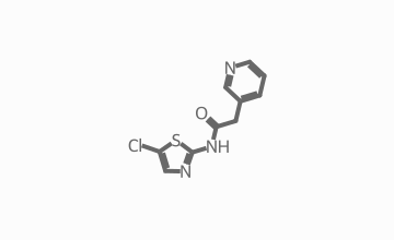 O=C(Cc1cccnc1)Nc1ncc(Cl)s1